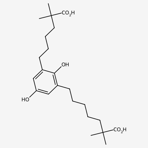 CC(C)(CCCCCc1cc(O)cc(CCCCC(C)(C)C(=O)O)c1O)C(=O)O